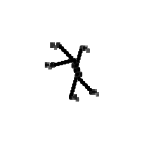 CCCCCCCCCCCCN(CCCCCCCCCCCC)CC(=O)N1CCN(C(=O)CN(CCCCCCCCC)CC[As](CCCCCCCCCCCC)CCCCCCCCCCCC)CC1